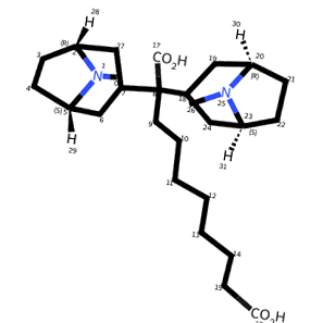 CN1[C@@H]2CC[C@H]1CC(C(CCCCCCCC(=O)O)(C(=O)O)C1C[C@H]3CC[C@@H](C1)N3C)C2